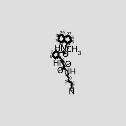 C[C@@H](NC(=O)c1ccccc1CNC(=O)C(=O)NCC/C=C/C#N)c1cccc2ccccc12